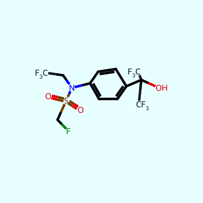 O=S(=O)(CF)N(CC(F)(F)F)c1ccc(C(O)(C(F)(F)F)C(F)(F)F)cc1